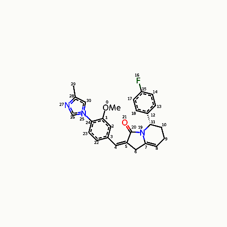 COc1cc(C=C2CC3=CCC[C@@H](c4ccc(F)cc4)N3C2=O)ccc1-n1cnc(C)c1